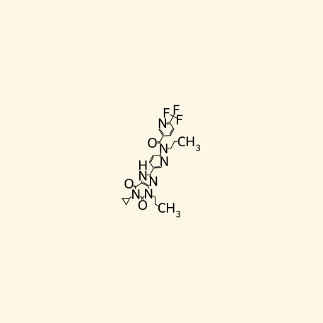 CCCN(C(=O)c1ccc(C(F)(F)F)nc1)c1ccc(-c2nc3c([nH]2)c(=O)n(C2CC2)c(=O)n3CCC)cn1